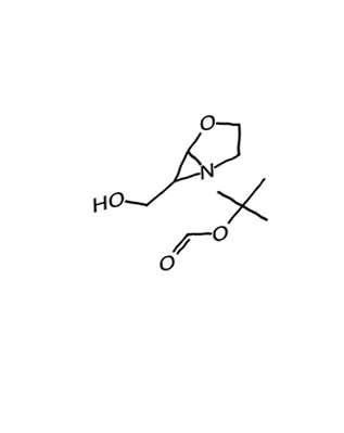 CC(C)(C)OC=O.OCC1C2OCCN12